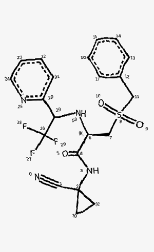 N#CC1(NC(=O)[C@H](CS(=O)(=O)Cc2ccccc2)NC(c2ccccn2)C(F)(F)F)CC1